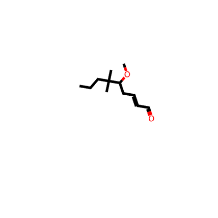 CCCC(C)(C)C(C/C=C/C=O)OC